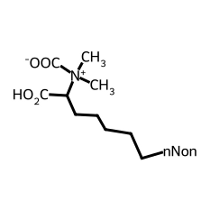 CCCCCCCCCCCCCCC(C(=O)O)[N+](C)(C)C(=O)[O-]